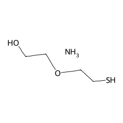 N.OCCOCCS